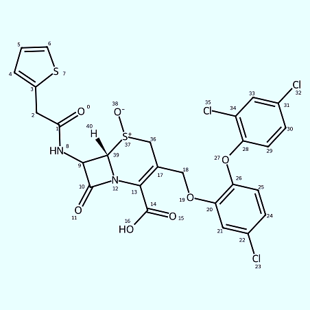 O=C(Cc1cccs1)NC1C(=O)N2C(C(=O)O)=C(COc3cc(Cl)ccc3Oc3ccc(Cl)cc3Cl)C[S+]([O-])[C@@H]12